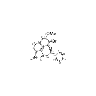 COc1cc2ncc3c4c2c(c1Br)OC(c1ccccn1)CN4CN3C